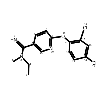 CCN(C)C(=N)c1ccc(Oc2ccc(Cl)cc2Cl)nc1